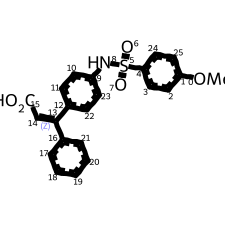 COc1ccc(S(=O)(=O)Nc2ccc(/C(=C\C(=O)O)c3ccccc3)cc2)cc1